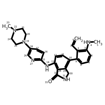 C=Cc1c(NC)cccc1-c1ccc(Nc2ccc(N3CCN(C)CC3)cn2)c2c1CNC2=O